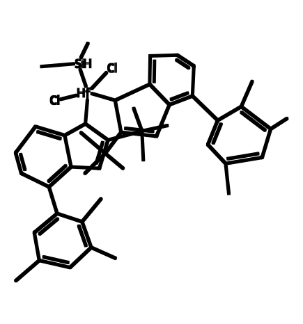 Cc1cc(C)c(C)c(-c2cccc3c2C=C(C(C)(C)C)[CH]3[Hf]([Cl])([Cl])([CH]2C(C(C)(C)C)=Cc3c(-c4cc(C)cc(C)c4C)cccc32)[SiH](C)C)c1